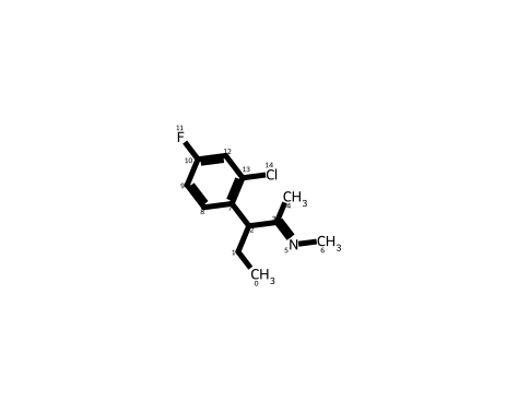 CCC(/C(C)=N/C)c1ccc(F)cc1Cl